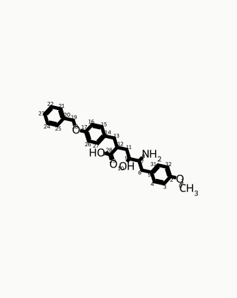 COc1ccc(CC(N)C(O)CC(Cc2ccc(OCc3ccccc3)cc2)C(=O)O)cc1